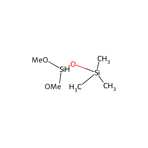 CO[SiH](OC)O[Si](C)(C)C